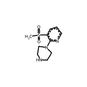 CS(=O)(=O)c1cccnc1N1CCNCC1